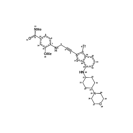 CCc1c(C#CCNc2ccc(C(=O)NC)cc2OC)sc2c(NC3CCC(N4CCOCC4)CC3)cccc12